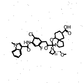 COC[C@@H]1CCN1C(OC1CCC(C(=O)O)CC1)(C(=O)Cc1cc(Cl)c(NC(=O)c2cn(C)c3ccccc23)cc1F)N1CCCC1